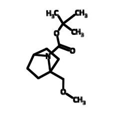 COCC12CCC(CC1)N2C(=O)OC(C)(C)C